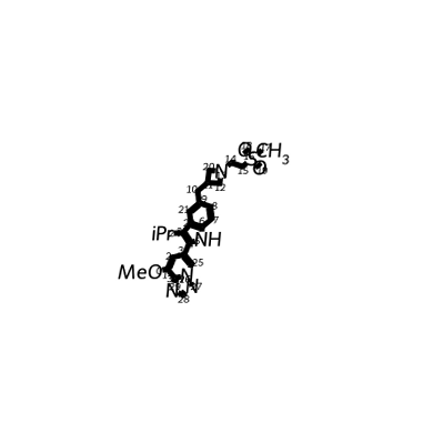 COc1cc(-c2[nH]c3ccc(CC4CN(CCS(C)(=O)=O)C4)cc3c2C(C)C)cn2ncnc12